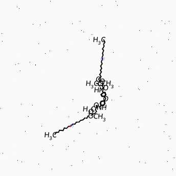 CCCCCCCC/C=C/CCCCCCCCOC(=O)C(C)CC(C)C(=O)Nc1ccc(Oc2ccc(NC(=O)C(C)CC(C)C(=O)OCCCCCCCC/C=C/CCCCCCCC)cc2)cc1